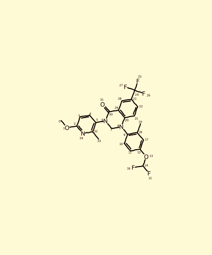 COc1ccc(N2CN(c3ccc(OC(F)F)cc3C)c3ccc(C(F)(F)F)cc3C2=O)c(C)n1